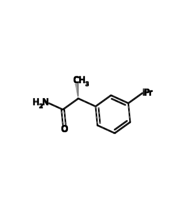 CC(C)c1cccc([C@@H](C)C(N)=O)c1